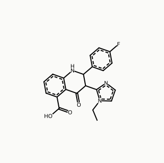 CCn1ccnc1C1C(=O)c2c(cccc2C(=O)O)NC1c1ccc(F)cc1